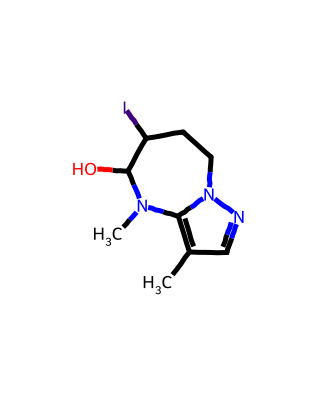 Cc1cnn2c1N(C)C(O)C(I)CC2